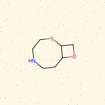 C1CSC2COC2CCN1